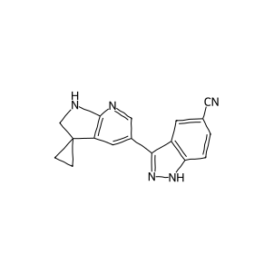 N#Cc1ccc2[nH]nc(-c3cnc4c(c3)C3(CC3)CN4)c2c1